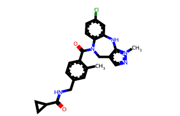 Cc1cc(CNC(=O)C2CC2)ccc1C(=O)N1Cc2cnn(C)c2Nc2cc(Cl)ccc21